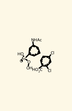 CC(=O)Nc1cccc([As](=O)(O)OO)c1.O=C(O)c1ccc(Cl)cc1Cl